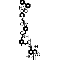 Cc1ccc(CNC(=O)Cc2ccc(N(C)C(=O)CCN3CCC(OC(=O)Nc4ccccc4-c4ccccc4)CC3)cc2)cc1CC(C)NC[C@H](O)c1ccc(O)c2[nH]c(=O)ccc12